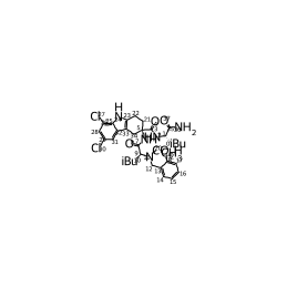 CCC(C)[C@H](NC(=O)[C@@]1(NC(=O)[C@H](C(C)CC)N(Cc2ccccc2C)C(=O)O)CCc2[nH]c3c(Cl)cc(Cl)cc3c2C1)C(N)=O